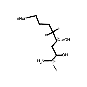 CCCCCCCCCCCCC(F)(F)[C@H](O)CC(O)[C@H](C)N